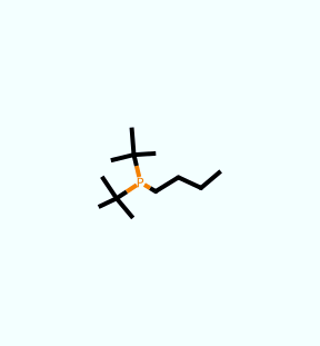 CCCCP(C(C)(C)C)C(C)(C)C